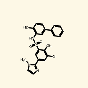 Cn1ccnc1-c1cc(Cl)c(O)c(S(=O)(=O)Nc2cc(-c3ccccc3)ccc2O)c1